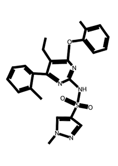 CCc1c(Oc2ccccc2C)nc(NS(=O)(=O)c2cnn(C)c2)nc1-c1ccccc1C